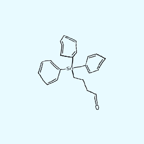 O=CCC[CH2][Sn]([c]1ccccc1)([c]1ccccc1)[c]1ccccc1